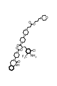 Nc1c(Cl)cc(C[C@@H](OC(=O)N2CCC(N3CCc4ccccc4NC3=O)CC2)C(=O)N2CCC(N3CCN(CCC(=O)OCCCN4CCOCC4)CC3)CC2)cc1C(F)(F)F